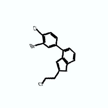 ClCCC1=Cc2c(cccc2-c2ccc(Cl)c(Br)c2)[CH]1